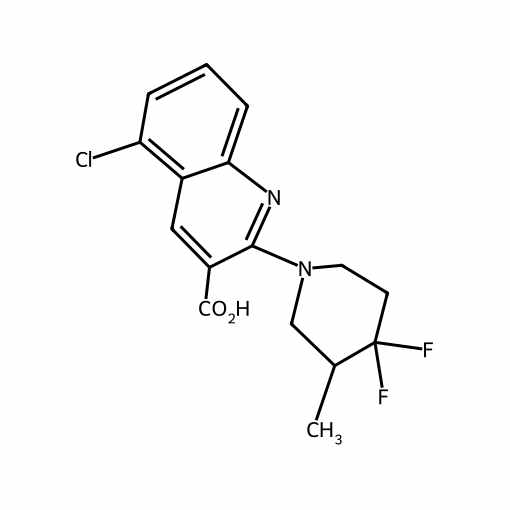 CC1CN(c2nc3cccc(Cl)c3cc2C(=O)O)CCC1(F)F